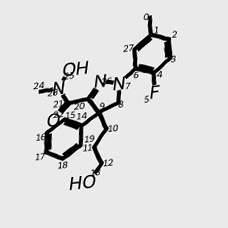 Cc1ccc(F)c(N2CC(CCCO)(c3ccccc3)C(C(=O)N(C)O)=N2)c1